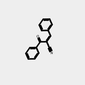 N#CC(=Cc1ccccc1)C(=O)c1ccccc1